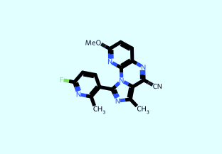 COc1ccc2nc(C#N)c3c(C)nc(-c4ccc(F)nc4C)n3c2n1